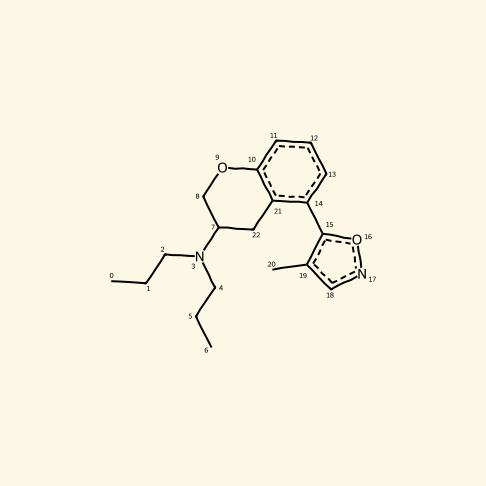 CCCN(CCC)C1COc2cccc(-c3oncc3C)c2C1